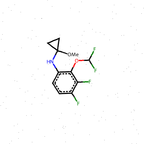 COC1(Nc2ccc(F)c(F)c2OC(F)F)CC1